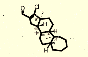 C[C@]12CCCCC[C@@H]1CC[C@@H]1[C@@H]2CC[C@]2(C)C(Cl)=C(C=O)C[C@@H]12